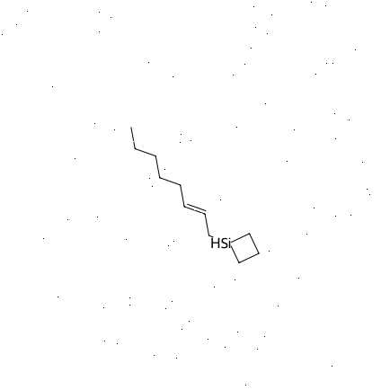 CCCCCC=CC[SiH]1CCC1